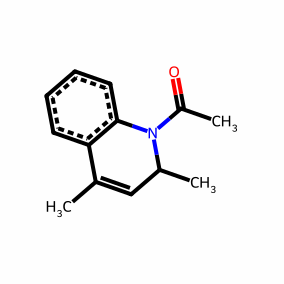 CC(=O)N1c2ccccc2C(C)=CC1C